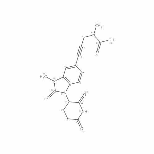 CN(CC#Cc1ccc2c(c1)n(C)c(=O)n2C1CCC(=O)NC1=O)C(=O)O